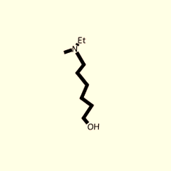 CCN(C)CCCCCCO